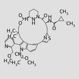 CO[C@H](C)Cn1c(-c2cccnc2[C@H](C)OC)c2c3cc(ccc31)-c1csc(n1)C[C@H](NC(=O)[C@H]1[C@H](C)[C@@H]1C)C(=O)N1CCC[C@H](N1)C(=O)OCC(C)(C)C2